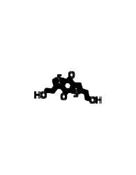 O=C1c2cc(CCO)sc2C(=O)c2c(CCO)csc21